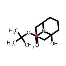 CC(C)(C)OC(=O)N1C2CCCC1(O)COC2